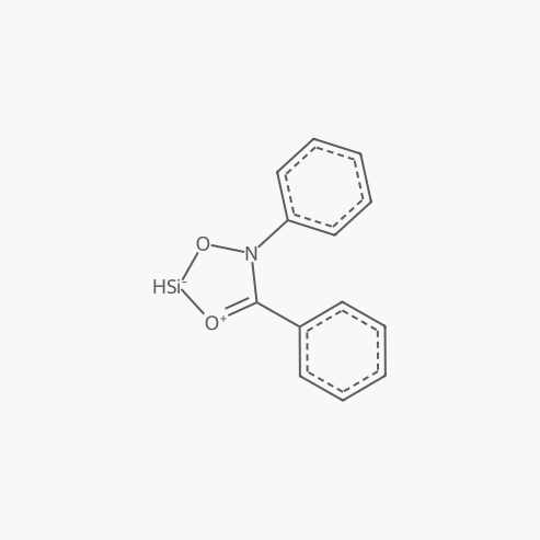 c1ccc(C2=[O+][SiH-]ON2c2ccccc2)cc1